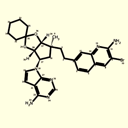 C[C@]1(CCc2ccc3cc(Br)c(N)nc3c2)C[C@@H](n2ccc3c(N)ncnc32)[C@@H]2OC3(CCCCC3)O[C@@H]21